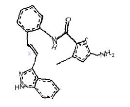 Cc1cc(N)sc1C(=O)Nc1ccccc1/C=C/c1n[nH]c2ccccc12